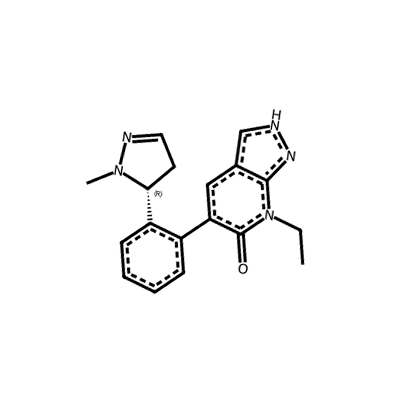 CCn1c(=O)c(-c2ccccc2[C@H]2CC=NN2C)cc2c[nH]nc21